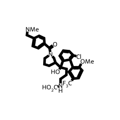 CNCc1ccc(C(=O)N2CCCC(C(O)(CCCNC(=O)O)c3cccc(Cl)c3-c3cc(C(F)(F)F)ccc3OC)C2)cc1